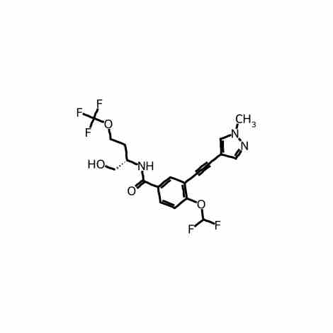 Cn1cc(C#Cc2cc(C(=O)N[C@H](CO)CCOC(F)(F)F)ccc2OC(F)F)cn1